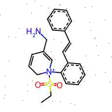 CCS(=O)(=O)[N+]1(c2ccccc2C=Cc2ccccc2)C=C(CN)C=CC1